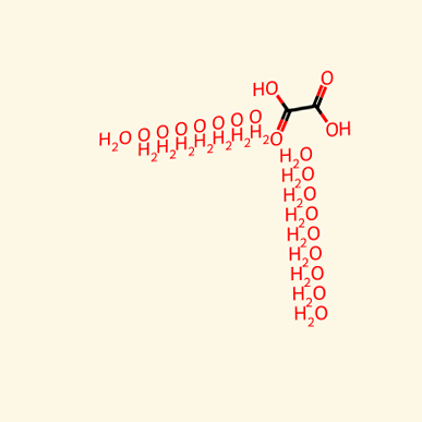 O.O.O.O.O.O.O.O.O.O.O.O.O.O.O.O.O.O=C(O)C(=O)O